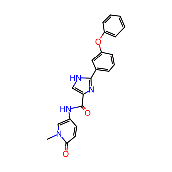 Cn1cc(NC(=O)c2c[nH]c(-c3cccc(Oc4ccccc4)c3)n2)ccc1=O